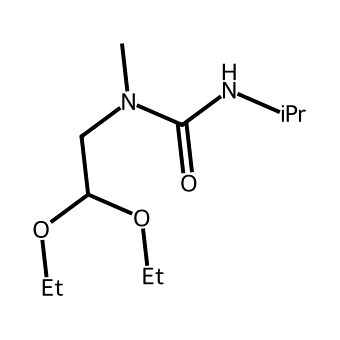 CCOC(CN(C)C(=O)NC(C)C)OCC